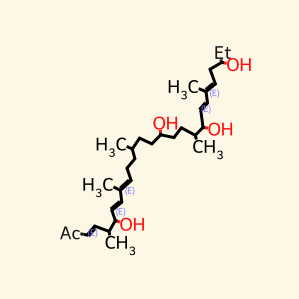 CCC(O)C/C=C(C)/C=C/C(O)C(C)CCC(O)CCC(C)CC/C=C(C)/C=C/C(O)C(C)/C=C/C(C)=O